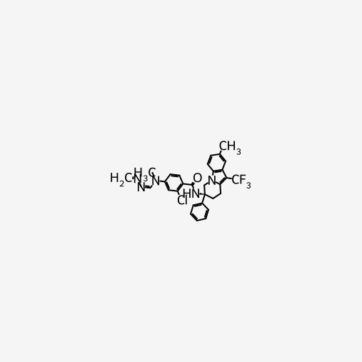 C=N/N=C\N(C)c1ccc(C(=O)N[C@]2(c3ccccc3)CCc3c(C(F)(F)F)c4cc(C)ccc4n3C2)c(Cl)c1